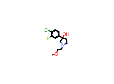 COCCN1CCC(O)(c2ccc(Cl)c(F)c2)C1